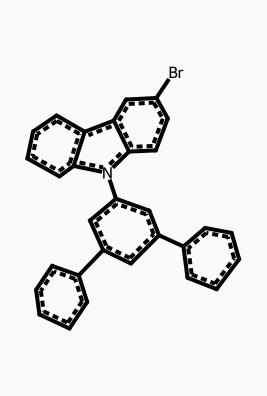 Brc1ccc2c(c1)c1ccccc1n2-c1cc(-c2ccccc2)cc(-c2ccccc2)c1